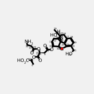 C[C@H](OC(=O)[C@H](CC(=O)OC1=CC[C@@]2(O)[C@H]3Cc4ccc(CO)c5c4[C@@]2(CCN3C)[C@H]1O5)OC(=O)CCN)C(=O)O